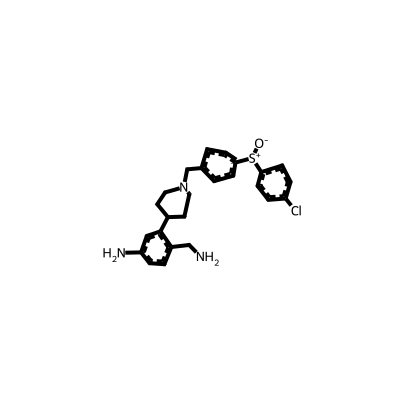 NCc1ccc(N)cc1C1CCN(Cc2ccc([S+]([O-])c3ccc(Cl)cc3)cc2)CC1